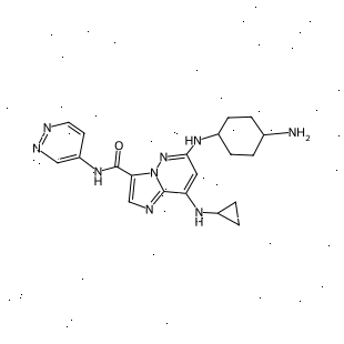 NC1CCC(Nc2cc(NC3CC3)c3ncc(C(=O)Nc4ccnnc4)n3n2)CC1